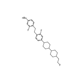 CCCCc1ccc(CCc2ccc(C3CCC(C4CCC(CCF)CC4)CC3)cc2F)c(F)c1